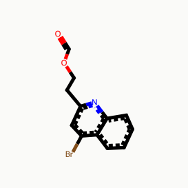 O=COCCc1cc(Br)c2ccccc2n1